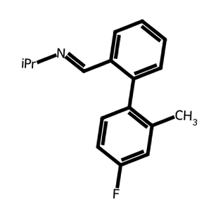 Cc1cc(F)ccc1-c1ccccc1C=NC(C)C